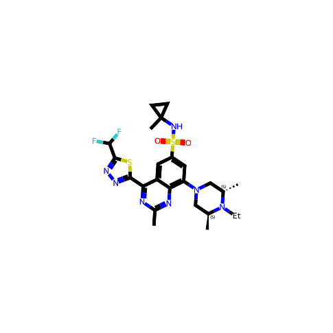 CCN1[C@@H](C)CN(c2cc(S(=O)(=O)NC3(C)CC3)cc3c(-c4nnc(C(F)F)s4)nc(C)nc23)C[C@@H]1C